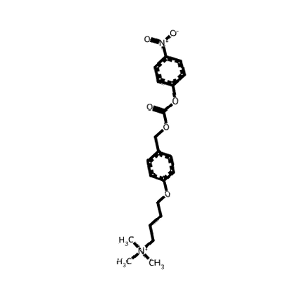 C[N+](C)(C)CCCCOc1ccc(COC(=O)Oc2ccc([N+](=O)[O-])cc2)cc1